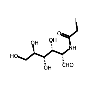 O=C[C@@H](NC(=O)CI)[C@@H](O)[C@H](O)[C@H](O)CO